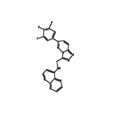 Fc1cc(-c2ccc3nnc(CNc4ccnc5cccnc45)n3n2)cc(F)c1F